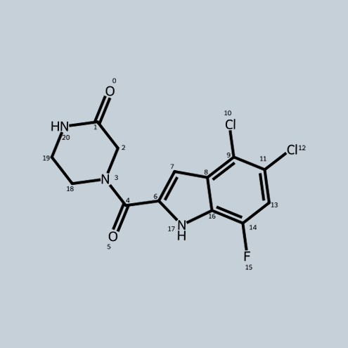 O=C1CN(C(=O)c2cc3c(Cl)c(Cl)cc(F)c3[nH]2)CCN1